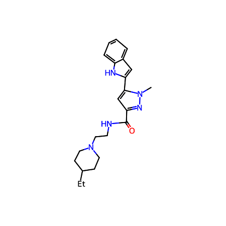 CCC1CCN(CCNC(=O)c2cc(-c3cc4ccccc4[nH]3)n(C)n2)CC1